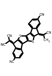 C/C(C#N)=C1/c2cc(C#N)ccc2-c2c1sc1c3c(sc21)C(=C(C#N)C#N)c1cc(C#N)ccc1-3